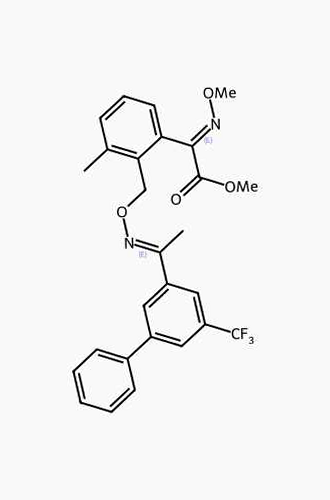 CO/N=C(/C(=O)OC)c1cccc(C)c1CO/N=C(\C)c1cc(-c2ccccc2)cc(C(F)(F)F)c1